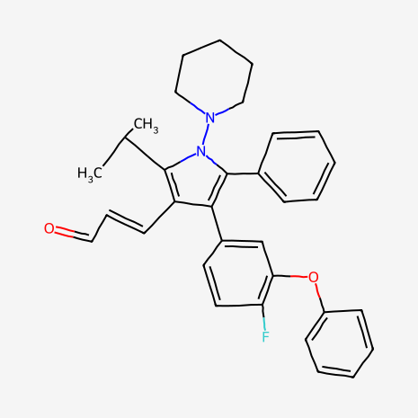 CC(C)c1c(/C=C/C=O)c(-c2ccc(F)c(Oc3ccccc3)c2)c(-c2ccccc2)n1N1CCCCC1